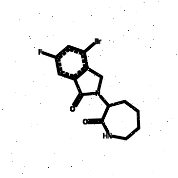 O=C1NCCCCC1N1Cc2c(Br)cc(F)cc2C1=O